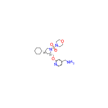 NCc1ccnc(OC[C@@H]2C[C@H](C3CCCCC3)CN2S(=O)(=O)N2CCOCC2)c1